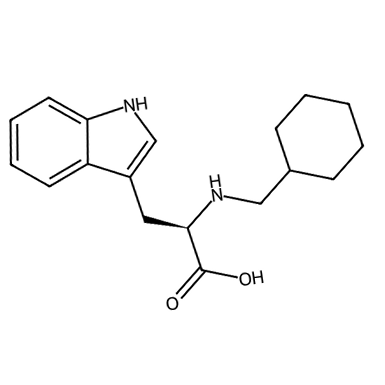 O=C(O)[C@@H](Cc1c[nH]c2ccccc12)NCC1CCCCC1